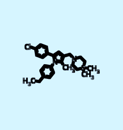 CCc1ccc(-n2c(-c3ccc(Cl)cc3)cc(CN3CCS(C)(C)CC3)c2C)cc1